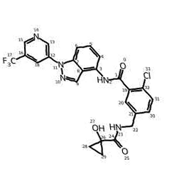 O=C(Nc1cccc2c1cnn2-c1cncc(C(F)(F)F)c1)c1cc(CNC(=O)C2(O)CC2)ccc1Cl